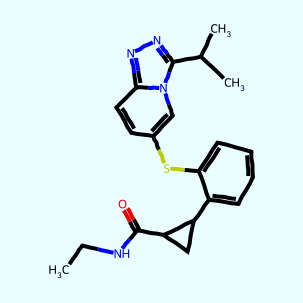 CCNC(=O)C1CC1c1ccccc1Sc1ccc2nnc(C(C)C)n2c1